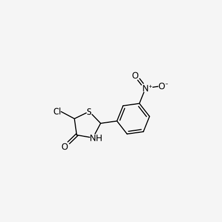 O=C1NC(c2cccc([N+](=O)[O-])c2)SC1Cl